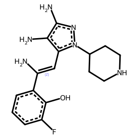 N/C(=C\c1c(N)c(N)nn1C1CCNCC1)c1cccc(F)c1O